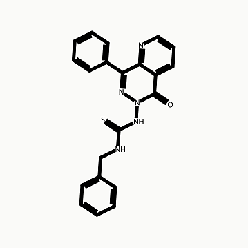 O=c1c2cccnc2c(-c2ccccc2)nn1NC(=S)NCc1ccccc1